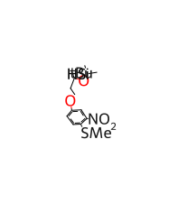 CSc1ccc(OCCC(O[SiH](C)C)C(C)(C)C)cc1[N+](=O)[O-]